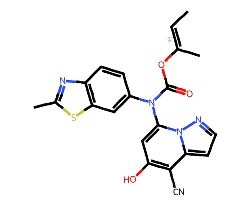 C/C=C(\C)OC(=O)N(c1ccc2nc(C)sc2c1)c1cc(O)c(C#N)c2ccnn12